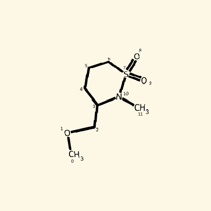 COCC1CCCS(=O)(=O)N1C